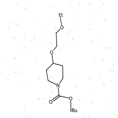 CCOCCOC1CCN(C(=O)OC(C)(C)C)CC1